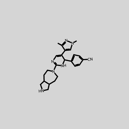 Cc1nn(C)cc1C1=CN=C(N2CCC3CNCC3CC2)NC1c1ccc(C#N)cc1